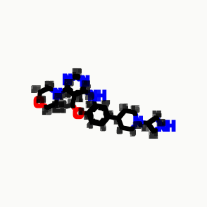 CC[C@@H]1Oc2ccc(C3CCN(C4CNC4)CC3)cc2Nc2ncnc(N3CCOCC3)c21